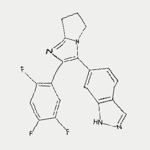 Fc1cc(F)c(-c2nc3n(c2-c2ccc4cn[nH]c4c2)CCC3)cc1F